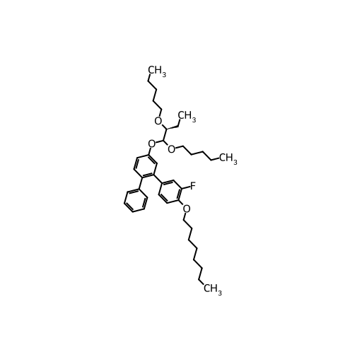 CCCCCCCCOc1ccc(-c2cc(OC(OCCCCC)[C@H](CC)OCCCCC)ccc2-c2ccccc2)cc1F